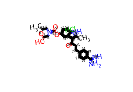 CCCN(CC(=O)O)C(=O)Oc1ccc2[nH]c(C)c(C(=O)CCc3ccc(C(=N)N)cc3)c2c1.Cl